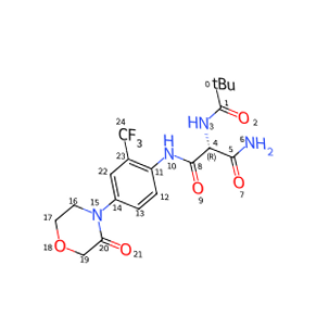 CC(C)(C)C(=O)N[C@H](C(N)=O)C(=O)Nc1ccc(N2CCOCC2=O)cc1C(F)(F)F